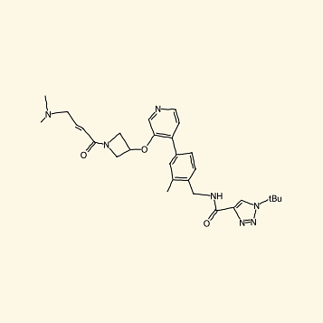 Cc1cc(-c2ccncc2OC2CN(C(=O)C=CCN(C)C)C2)ccc1CNC(=O)c1cn(C(C)(C)C)nn1